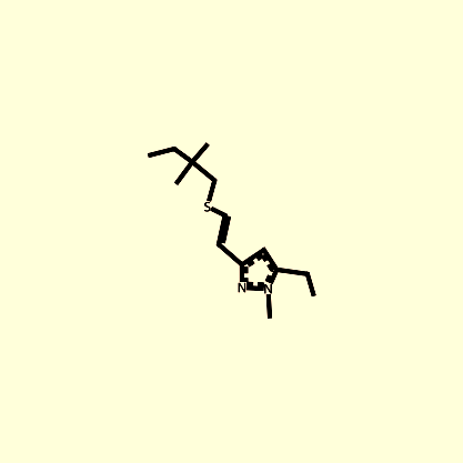 CCc1cc(C=CSCC(C)(C)CC)nn1C